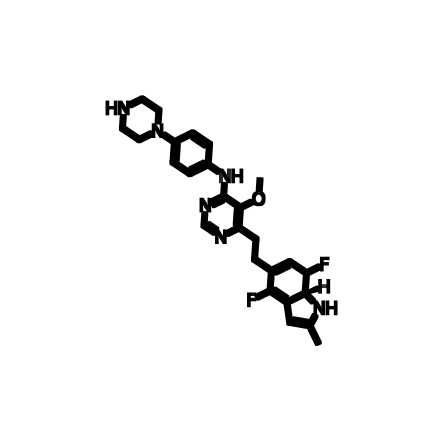 COc1c(CCC2=CC(F)[C@@H]3NC(C)=CC3=C2F)ncnc1Nc1ccc(N2CCNCC2)cc1